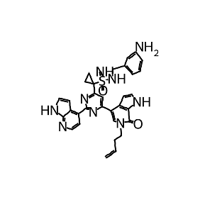 C=CCCn1cc(-c2cc(C3([S@](=N)(=O)NCc4cccc(N)c4)CC3)nc(-c3ccnc4[nH]ccc34)n2)c2cc[nH]c2c1=O